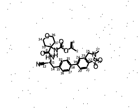 C=C(C)OC(=O)NC1(C(=O)N[C@H](C#N)Cc2ccc(-c3ccc4c(c3)CN(C)S4(=O)=O)cc2)CCOCC1